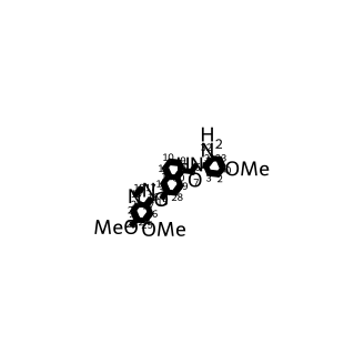 COc1ccc(NC(=O)c2cccc3cc(Oc4ncnc5cc(OC)c(OC)cc45)ccc23)c(N)c1